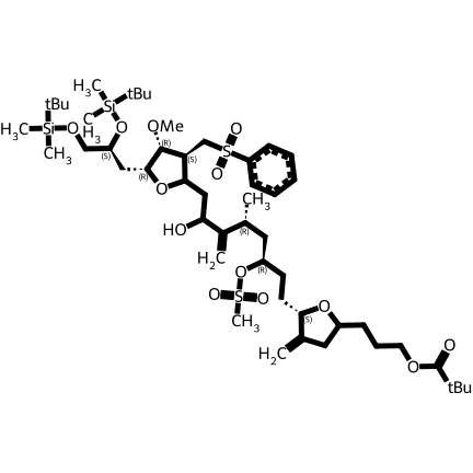 C=C(C(O)CC1O[C@H](C[C@@H](CO[Si](C)(C)C(C)(C)C)O[Si](C)(C)C(C)(C)C)[C@H](OC)[C@H]1CS(=O)(=O)c1ccccc1)[C@H](C)C[C@@H](CC[C@@H]1OC(CCCOC(=O)C(C)(C)C)CC1=C)OS(C)(=O)=O